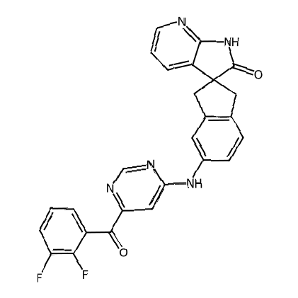 O=C(c1cc(Nc2ccc3c(c2)CC2(C3)C(=O)Nc3ncccc32)ncn1)c1cccc(F)c1F